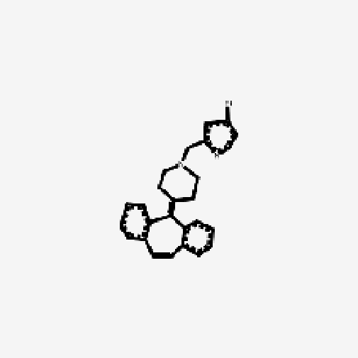 CCc1ccnc(CN2CCC(=C3c4ccccc4C=Cc4ccccc43)CC2)c1